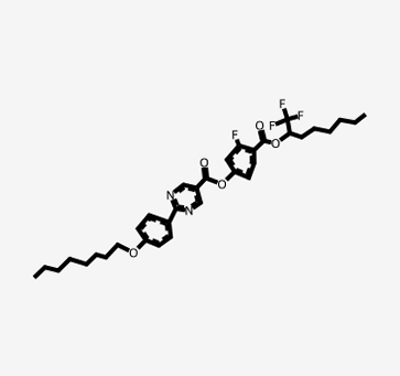 CCCCCCCCOc1ccc(-c2ncc(C(=O)Oc3ccc(C(=O)OC(CCCCCC)C(F)(F)F)c(F)c3)cn2)cc1